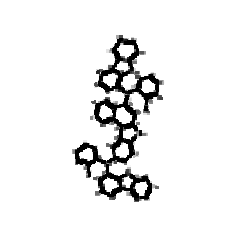 Cc1ccccc1N(c1ccc2oc3cc(N(c4ccccc4C)c4cccc5c4oc4ccccc45)c4ccccc4c3c2c1)c1cccc2c1oc1ccccc12